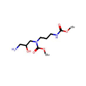 CC(C)(C)OC(=O)NCCCN(CC(O)CN)C(=O)OC(C)(C)C